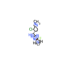 Cn1cc2c(Cl)c(-c3c[nH]c4nc(N5[C@H]6CC[C@@H]5[C@@H](F)[C@H](N)C6)cnc34)ccc2n1